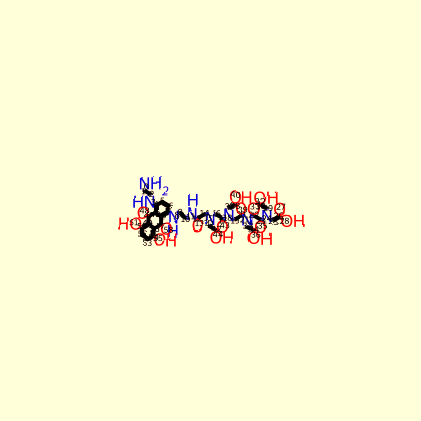 NCCNc1ccc(NCCNC(=O)CN(CCN(CCN(CCN(CC(=O)O)CC(=O)O)CC(=O)O)CC(=O)O)CC(=O)O)c2c1C(=O)c1c(O)ccc(O)c1C2=O